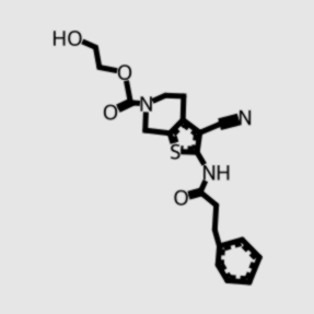 N#Cc1c(NC(=O)CCc2ccccc2)sc2c1CCN(C(=O)OCCO)C2